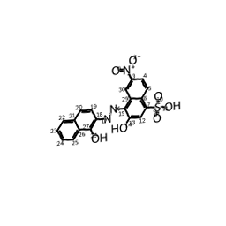 O=[N+]([O-])c1ccc2c(S(=O)(=O)O)cc(O)c(/N=N/c3ccc4ccccc4c3O)c2c1